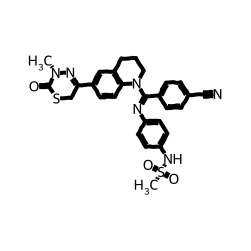 CN1N=C(c2ccc3c(c2)CCCN3C(=Nc2ccc(NS(C)(=O)=O)cc2)c2ccc(C#N)cc2)CSC1=O